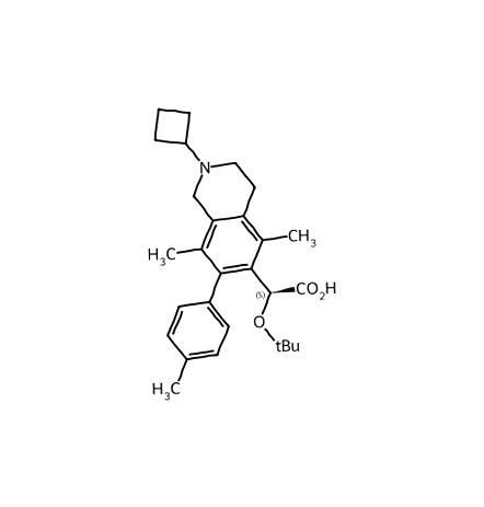 Cc1ccc(-c2c(C)c3c(c(C)c2[C@H](OC(C)(C)C)C(=O)O)CCN(C2CCC2)C3)cc1